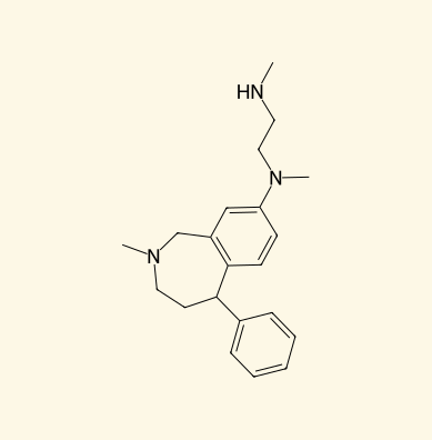 CNCCN(C)c1ccc2c(c1)CN(C)CCC2c1ccccc1